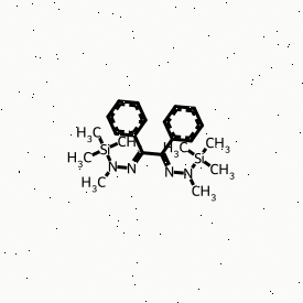 CN(/N=C(/C(=N/N(C)[Si](C)(C)C)c1ccccc1)c1ccccc1)[Si](C)(C)C